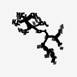 CC(C)(C)[Si](C)(C)OCC(N=[N+]=[N-])C(F)F